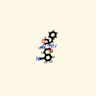 CCC1(Cc2ccccc2)NC(=O)C(Cc2c(F)cccc2C#N)N(C)C1=O